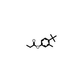 CCC(=O)Oc1ccc(C(C)(C)C)c(C)c1